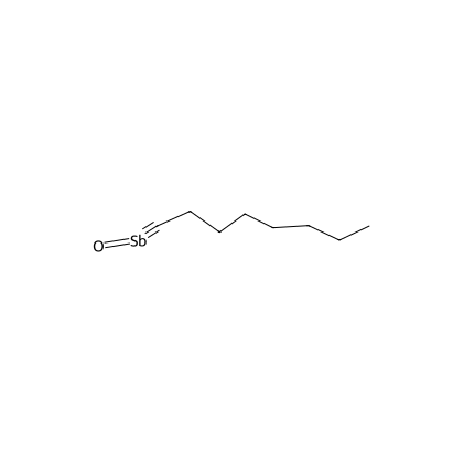 CCCCCCC[C]#[Sb]=[O]